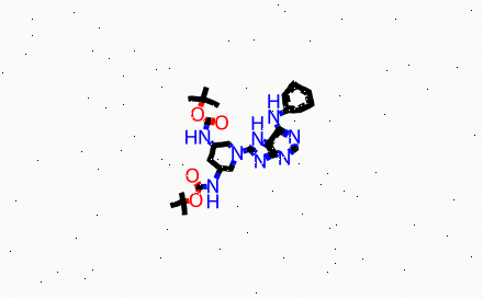 CC(C)(C)OC(=O)NC1CC(NC(=O)OC(C)(C)C)CN(c2nc3ncnc(Nc4ccccc4)c3[nH]2)C1